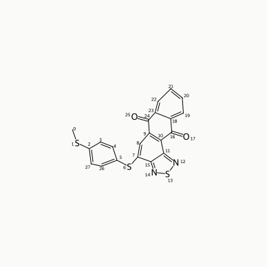 CSc1ccc(Sc2cc3c(c4nsnc24)C(=O)c2ccccc2C3=O)cc1